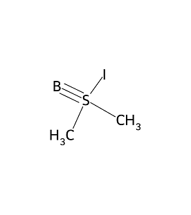 B#S(C)(C)I